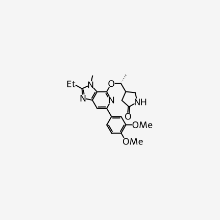 CCc1nc2cc(-c3ccc(OC)c(OC)c3)nc(O[C@H](C)C3CNC(=O)C3)c2n1C